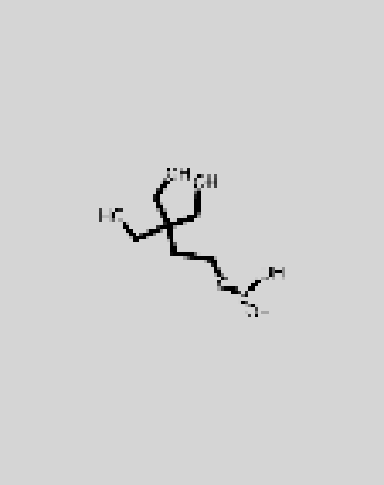 OCC(CO)(CO)CCOB(O)O